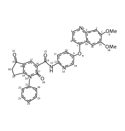 COc1cc2nccc(Oc3ccc(NC(=O)c4cc5c(n(-c6ccccc6)c4=O)CCC5=O)nc3)c2cc1OC